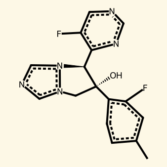 Cc1ccc([C@@](O)(Cn2cncn2)[C@@H](C)c2ncncc2F)c(F)c1